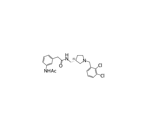 CC(=O)Nc1cccc(CC(=O)NC[C@@H]2CCN(Cc3cccc(Cl)c3Cl)C2)c1